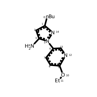 CCCCc1cc(N)n(-c2ccc(OCC)nc2)n1